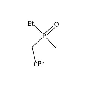 [CH2]CP(C)(=O)CCCC